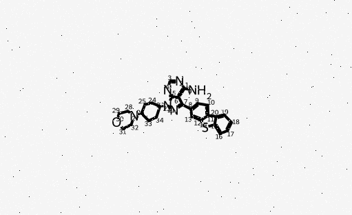 Nc1ncnc2c1c(-c1ccc3c(c1)sc1ccccc13)nn2[C@H]1CC[C@H](N2CCOCC2)CC1